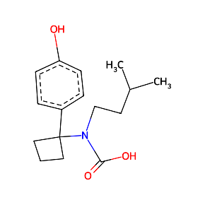 CC(C)CCN(C(=O)O)C1(c2ccc(O)cc2)CCC1